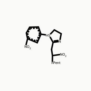 CCCCCC(CC1=NCC[SH]1c1cccc([N+](=O)[O-])c1)[N+](=O)[O-]